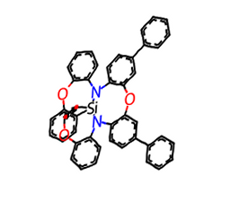 c1ccc(-c2ccc3c(c2)Oc2cc(-c4ccccc4)ccc2N2c4ccccc4Oc4ccccc4[Si]24c2ccccc2Oc2ccccc2N34)cc1